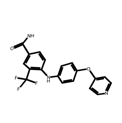 [NH]C(=O)c1ccc(Nc2ccc(Oc3ccncc3)cc2)c(C(F)(F)F)c1